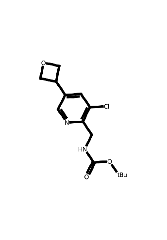 CC(C)(C)OC(=O)NCc1ncc(C2COC2)cc1Cl